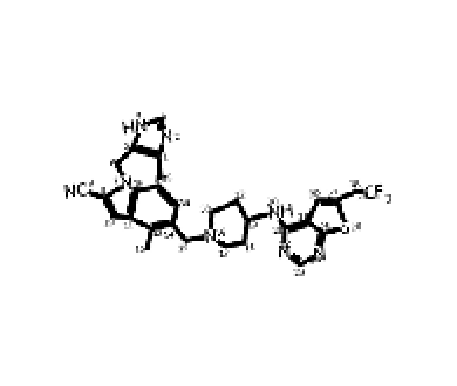 Cc1nc[nH]c1Cn1c(C#N)cc2c(C)c(CN3CCC(Nc4ncnc5sc(CC(F)(F)F)cc45)CC3)ccc21